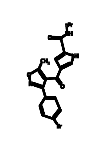 CCCNC(=O)c1cc(C(=O)c2c(-c3ccc(Br)cc3)noc2C)c[nH]1